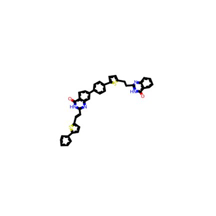 O=c1[nH]c(/C=C/c2ccc(-c3ccccc3)s2)nc2cc(-c3ccc(-c4ccc(CCc5nc6ccccc6c(=O)[nH]5)s4)cc3)ccc12